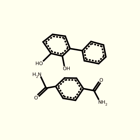 NC(=O)c1ccc(C(N)=O)cc1.Oc1cccc(-c2ccccc2)c1O